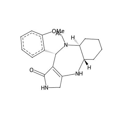 COc1ccccc1[C@H]1C2=C(CNC2=O)N[C@H]2CCCC[C@@H]2N1C(C)=O